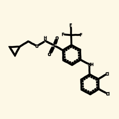 O=S(=O)(NOCC1CC1)c1ccc(Nc2cccc(Cl)c2Cl)cc1C(F)(F)F